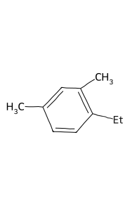 CCc1ccc(C)cc1C